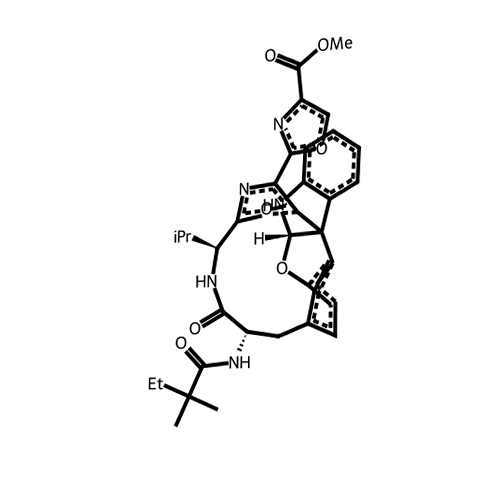 CCC(C)(C)C(=O)N[C@H]1Cc2ccc3c(c2)C2(c4ccccc4N[C@H]2O3)c2oc(nc2-c2nc(C(=O)OC)co2)[C@H](C(C)C)NC1=O